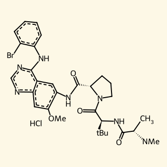 CN[C@@H](C)C(=O)N[C@H](C(=O)N1CCC[C@H]1C(=O)Nc1cc2c(Nc3ccccc3Br)ncnc2cc1OC)C(C)(C)C.Cl